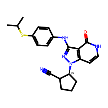 CC(C)Sc1ccc(Nc2nn([C@H]3CCCC3C#N)c3cc[nH]c(=O)c23)cc1